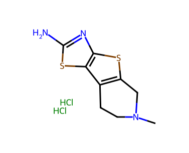 CN1CCc2c(sc3nc(N)sc23)C1.Cl.Cl